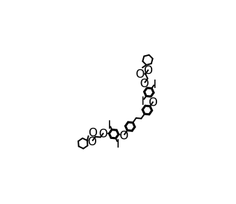 CC1(OC(=O)COc2cc(I)c(Oc3ccc(CCc4ccc(Oc5cc(I)c(OCC(=O)OC6(C)CCCCC6)cc5I)cc4)cc3)cc2I)CCCCC1